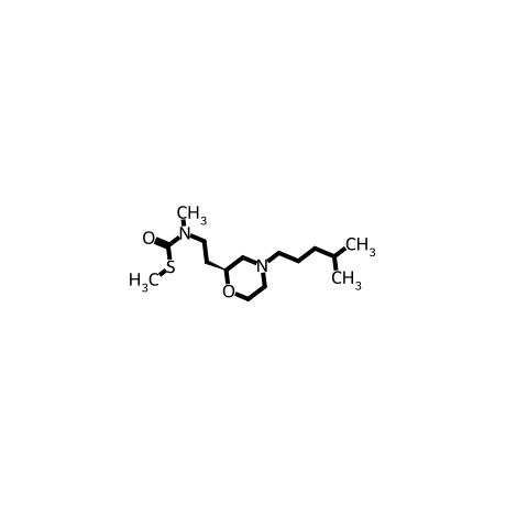 CSC(=O)N(C)CC[C@H]1CN(CCCC(C)C)CCO1